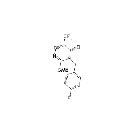 CSc1nnc(C(F)(F)F)c(=O)n1Cc1ccc(Cl)cc1